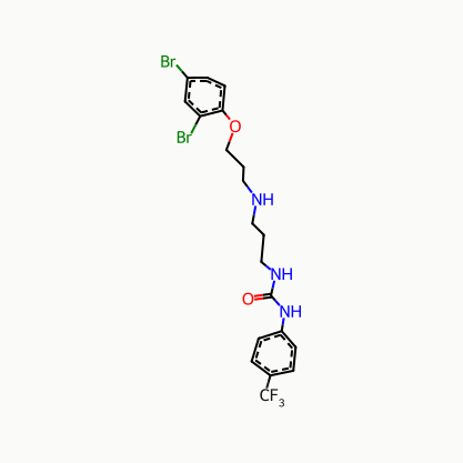 O=C(NCCCNCCCOc1ccc(Br)cc1Br)Nc1ccc(C(F)(F)F)cc1